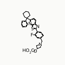 O=C(O)OC1CN(Cc2ccc(-c3nc4ccc(C5(c6ccccc6)CCCCC5)nc4s3)c(F)c2)C1